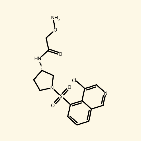 NOCC(=O)N[C@H]1CCN(S(=O)(=O)c2cccc3cncc(Cl)c23)C1